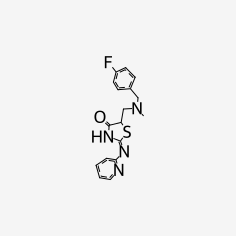 CN(Cc1ccc(F)cc1)CC1S/C(=N/c2ccccn2)NC1=O